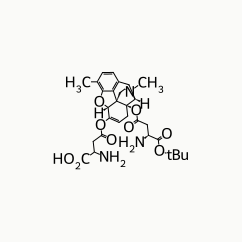 Cc1ccc2c3c1O[C@H]1C(OC(=O)CC(N)C(=O)O)=CC[C@@]4(OC(=O)C[C@H](N)C(=O)OC(C)(C)C)[C@@H](C2)N(C)CC[C@]314